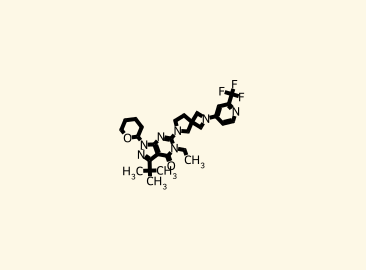 CCn1c(N2CCC3(CN(c4ccnc(C(F)(F)F)c4)C3)C2)nc2c(c(C(C)(C)C)nn2C2CCCCO2)c1=O